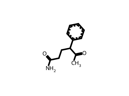 CC(=O)C(CCC(N)=O)c1ccccc1